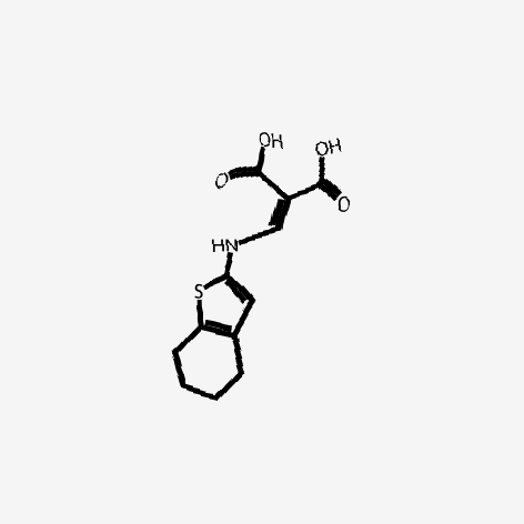 O=C(O)C(=CNc1cc2c(s1)CCCC2)C(=O)O